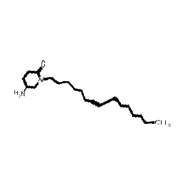 CCCCCCCCCCCCCCCN1C[C@@H](N)CCC1=O